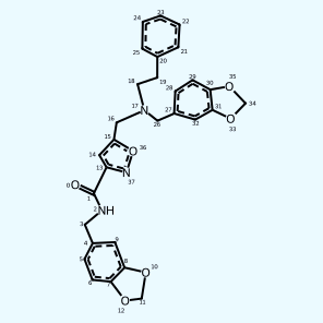 O=C(NCc1ccc2c(c1)OCO2)c1cc(CN(CCc2ccccc2)Cc2ccc3c(c2)OCO3)on1